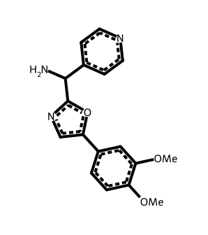 COc1ccc(-c2cnc(C(N)c3ccncc3)o2)cc1OC